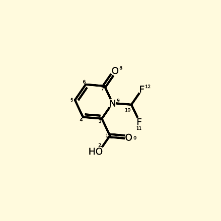 O=C(O)c1cccc(=O)n1C(F)F